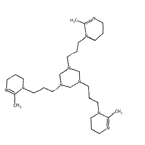 CC1=NCCCN1CCCN1CN(CCCN2CCCN=C2C)CN(CCCN2CCCN=C2C)C1